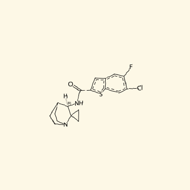 O=C(N[C@@H]1C2CCN(CC2)C12CC2)c1cc2cc(F)c(Cl)cc2s1